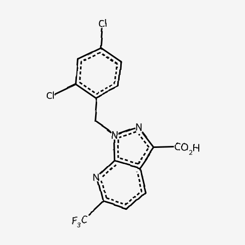 O=C(O)c1nn(Cc2ccc(Cl)cc2Cl)c2nc(C(F)(F)F)ccc12